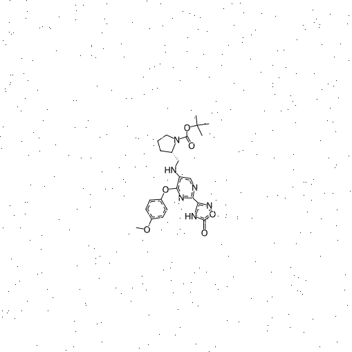 COc1ccc(Oc2nc(-c3noc(=O)[nH]3)ncc2NC[C@@H]2CCCN2C(=O)OC(C)(C)C)cc1